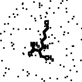 CCC(NCCCCCl)C(N)=O